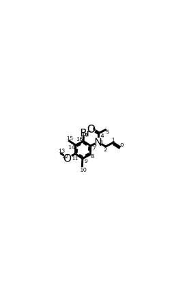 C=CCN(C(C)=O)c1cc(C)c(OC)c(C)c1Br